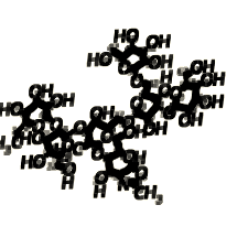 CC[C@@H]1O[C@H](OC2C(O)[C@H](O)[C@H](CO)O[C@@H]2O[C@@H]2C(C)[C@H](O[C@@H]3C(CO)O[C@@H]4OC(C)=NC4[C@H]3O)OC(CO[C@H]3OC(CO[C@H]4OC(CO)[C@@H](O)[C@H](O)C4O)[C@@H](O)[C@H](O[C@H]4O[C@@H](CO)[C@@H](O)C(O)C4O)C3O)[C@H]2O)C(O)C(O)[C@@H]1O